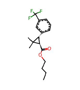 CCCCOC(=O)[C@@H]1[C@@H](c2cccc(C(F)(F)F)c2)C1(C)C